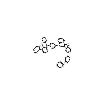 c1ccc(-c2cccc(-c3ccc4oc5c6ccccc6c(-c6ccc(N(c7ccccc7)c7cccc8c7oc7ccccc78)cc6)cc5c4c3)c2)cc1